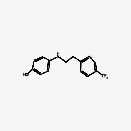 Oc1ccc(NCCc2ccc(C(F)(F)F)cc2)cc1